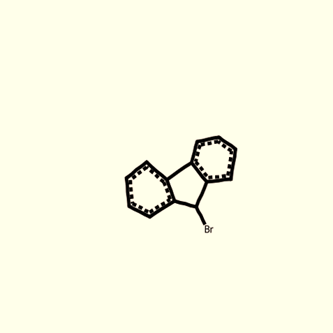 Br[C]1c2ccccc2-c2ccccc21